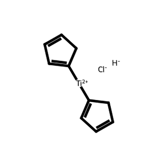 C1=CC[C]([Ti+2][C]2=CC=CC2)=C1.[Cl-].[H-]